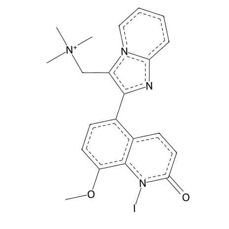 COc1ccc(-c2nc3ccccn3c2C[N+](C)(C)C)c2ccc(=O)n(I)c12